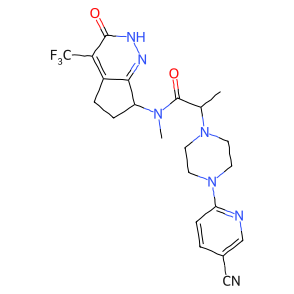 CC(C(=O)N(C)C1CCc2c1n[nH]c(=O)c2C(F)(F)F)N1CCN(c2ccc(C#N)cn2)CC1